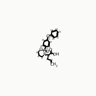 C=CCC(C(=O)O)N1CCCOP1(=O)c1ccc(Oc2ccccc2)cc1